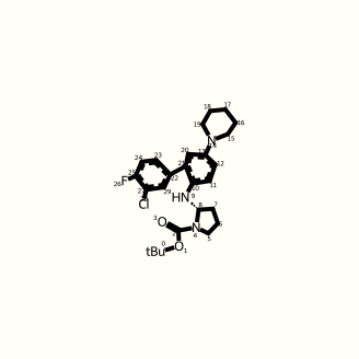 CC(C)(C)OC(=O)N1CCC[C@H]1Nc1ccc(N2CCCCC2)cc1-c1ccc(F)c(Cl)c1